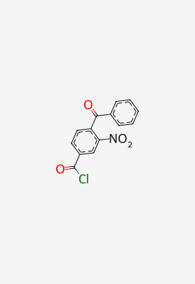 O=C(Cl)c1ccc(C(=O)c2ccccc2)c([N+](=O)[O-])c1